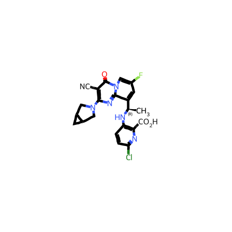 C[C@@H](Nc1ccc(Cl)nc1C(=O)O)c1cc(F)cn2c(=O)c(C#N)c(N3CC4CC4C3)nc12